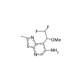 COC(c1c(N)cnc2sc(C)nc12)C(F)F